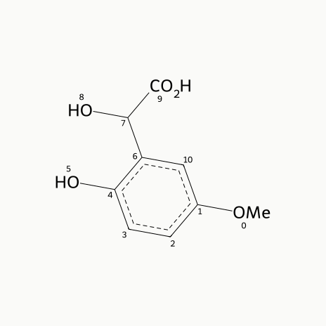 COc1ccc(O)c(C(O)C(=O)O)c1